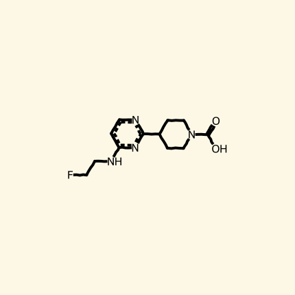 O=C(O)N1CCC(c2nccc(NCCF)n2)CC1